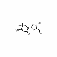 [2H]C1(C)CN([C@H]2C[C@H](O)[C@@H](CO)O2)C(=O)N=C1N